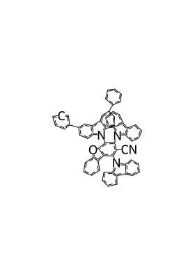 N#Cc1c(-n2c3ccccc3c3ccccc32)c(-n2c3ccc(-c4ccccc4)cc3c3cc(-c4ccccc4)ccc32)c2oc3ccccc3c2c1-n1c2ccccc2c2ccccc21